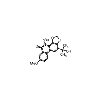 CCCCn1c(=O)c2cc(OC)ccc2c2cc(C(C)(O)C(F)(F)F)c3c(c21)OCO3